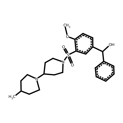 COc1ccc(C(O)c2ccccc2)cc1S(=O)(=O)N1CCC(N2CCC(C)CC2)CC1